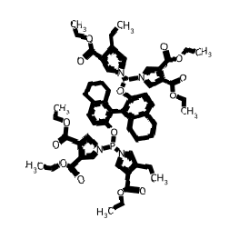 CCOC(=O)c1cn(P(Oc2ccc3c(c2-c2c(OP(n4cc(CC)c(C(=O)OCC)c4)n4cc(C(=O)OCC)c(C(=O)OCC)c4)ccc4c2CCCC4)CCCC3)n2cc(C(=O)OCC)c(C(=O)OCC)c2)cc1CC